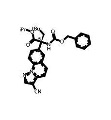 CC(C)OC(=O)[C@](CC(C)(C)C)(NC(=O)OCc1ccccc1)c1ccc2c(ccc3c(C#N)cnn32)c1